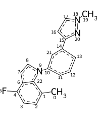 Cc1ccc(F)c2ccn(-c3cccc(-c4ccn(C)n4)c3)c12